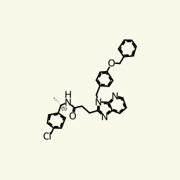 C[C@H](NC(=O)CCc1nc2cccnc2n1Cc1ccc(OCc2ccccc2)cc1)c1ccc(Cl)cc1